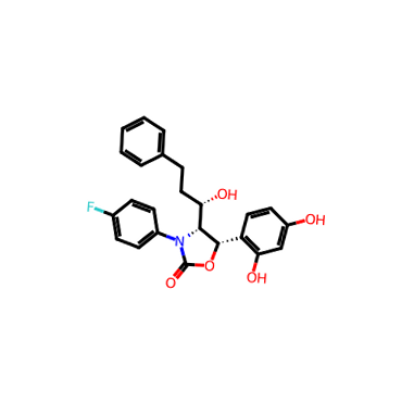 O=C1O[C@@H](c2ccc(O)cc2O)[C@@H]([C@@H](O)CCc2ccccc2)N1c1ccc(F)cc1